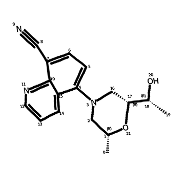 C[C@@H]1CN(c2ccc(C#N)c3ncccc23)C[C@H]([C@@H](C)O)O1